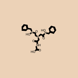 O=C(O)CNC(=O)CN(CC(=O)N(O)Cc1ccccc1)CC(=O)N(O)Cc1ccccc1